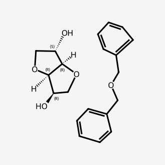 O[C@@H]1CO[C@H]2[C@@H]1OC[C@@H]2O.c1ccc(COCc2ccccc2)cc1